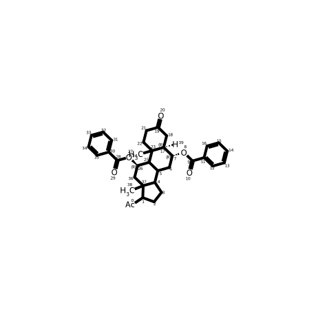 CC(=O)C1CCC2C3C[C@@H](OC(=O)c4ccccc4)[C@@H]4CC(=O)CCC4(C)C3[C@H](OC(=O)c3ccccc3)CC12C